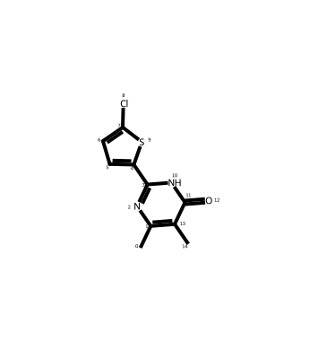 Cc1nc(-c2ccc(Cl)s2)[nH]c(=O)c1C